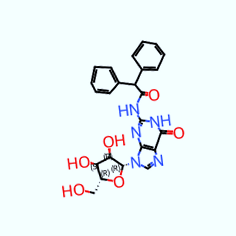 O=C(Nc1nc2c(ncn2[C@@H]2O[C@H](CO)[C@@H](O)[C@H]2O)c(=O)[nH]1)C(c1ccccc1)c1ccccc1